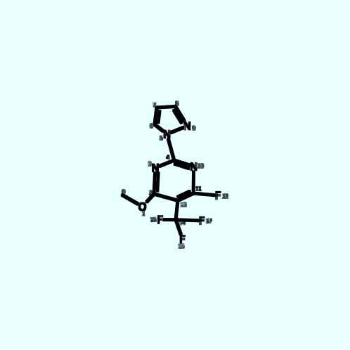 COc1nc(-n2cccn2)nc(F)c1C(F)(F)F